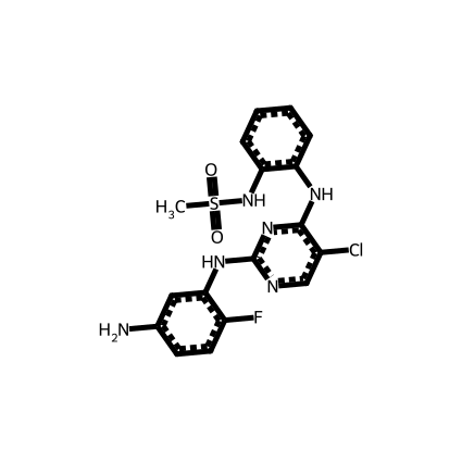 CS(=O)(=O)Nc1ccccc1Nc1nc(Nc2cc(N)ccc2F)ncc1Cl